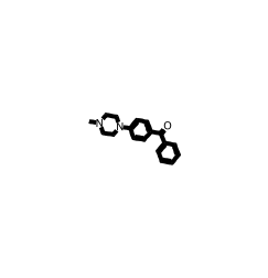 CN1CCN(c2ccc(C(=O)c3ccccc3)cc2)CC1